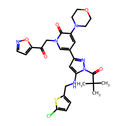 CC(C)(C)C(=O)n1nc(-c2cc(N3CCOCC3)c(=O)n(CC(=O)c3ccno3)c2)cc1NCc1ccc(Cl)s1